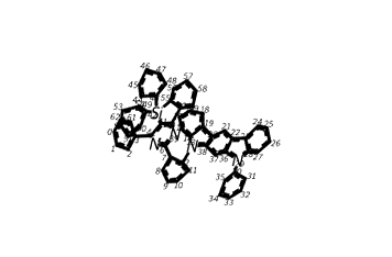 c1ccc(-c2nc(-c3ccccc3-n3c4ccccc4c4cc5c6ccccc6n(-c6ccccc6)c5cc43)nc3c2[Si](c2ccccc2)(c2ccccc2)c2ccccc2-3)cc1